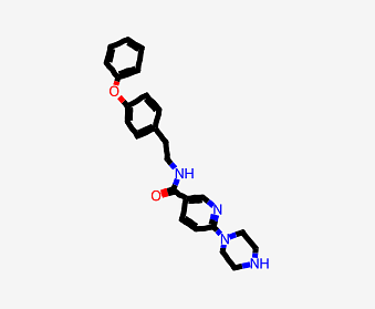 O=C(NCCc1ccc(Oc2ccccc2)cc1)c1ccc(N2CCNCC2)nc1